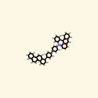 c1ccc(N(c2ccc(-c3ccc(-c4cccc5c4ccc4c6ccccc6ccc54)cc3)cc2)c2ccccc2-c2cccc3ccccc23)cc1